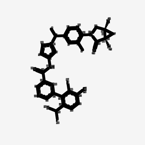 Cc1cc(C(C)n2cc(NC(=O)c3cncc(-c4c(C(F)F)ccc(Cl)c4F)n3)cn2)cnc1N1C[C@H]2C[C@H]2C1=O